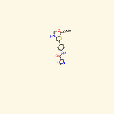 CCNc1cc(-c2ccc(NC(=O)c3cnco3)cc2)sc1C(=O)OC